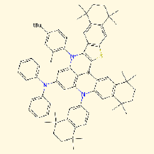 Cc1cc(C(C)(C)C)ccc1N1c2cc(N(c3ccccc3)c3ccccc3)cc3c2B(c2cc4c(cc2N3c2ccc3c(c2)C(C)(C)CCC3(C)C)C(C)(C)CCC4(C)C)c2sc3cc4c(cc3c21)C(C)(C)CCC4(C)C